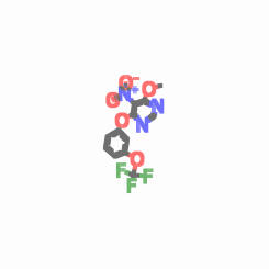 COc1ncnc(Oc2cccc(OC(F)(F)F)c2)c1[N+](=O)[O-]